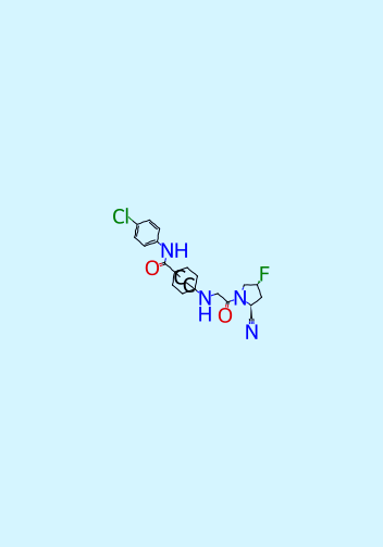 N#C[C@@H]1C[C@H](F)CN1C(=O)CNC12CCC(C(=O)Nc3ccc(Cl)cc3)(CC1)CC2